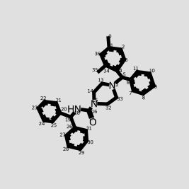 Cc1ccc(C(c2ccccc2)N2CCN(C(=O)NC(c3ccccc3)c3ccccc3)CC2)c(C)c1